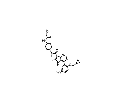 COCC(=O)N[C@H]1CC[C@@H](NC(=O)c2c(C)[nH]c3c(-c4cc(OC)ccc4OCC4CC4)ccnc23)CC1